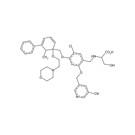 CC1C(c2ccccc2)=CC=CC1(COc1cc(OCc2cncc(C#N)c2)c(CNC(CO)C(=O)O)cc1Cl)OCCN1CCOCC1